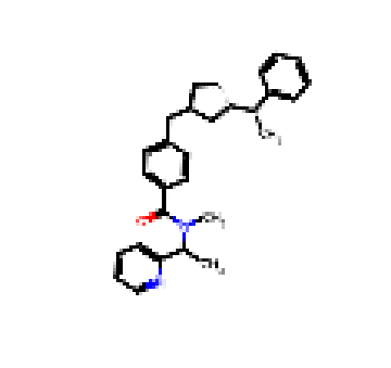 CC(c1ccccn1)N(C)C(=O)c1ccc(CC2CC[C@H]([C@H](C)c3ccccc3)C2)cc1